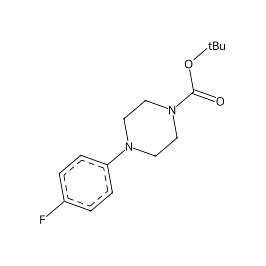 CC(C)(C)OC(=O)N1CCN(c2ccc(F)cc2)CC1